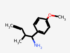 C=CC(C)C(N)c1ccc(OC)cc1